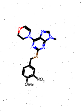 COc1ccc(CSc2nc(N3C=COCC3)c3ncn(C)c3n2)cc1[N+](=O)[O-]